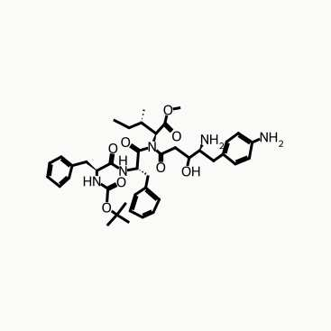 CC[C@H](C)[C@@H](C(=O)OC)N(C(=O)CC(O)[C@@H](N)Cc1ccc(N)cc1)C(=O)[C@H](Cc1ccccc1)NC(=O)[C@H](Cc1ccccc1)NC(=O)OC(C)(C)C